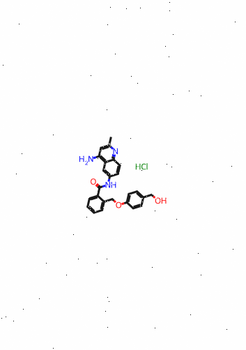 Cc1cc(N)c2cc(NC(=O)c3ccccc3COc3ccc(CO)cc3)ccc2n1.Cl